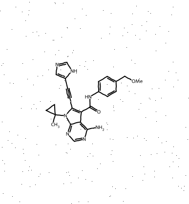 COCc1ccc(NC(=O)c2c(C#Cc3cnc[nH]3)n(C3(C)CC3)c3ncnc(N)c23)cc1